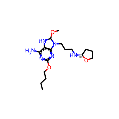 CCCCOc1nc(N)c2c(n1)N(CCCN[C@H]1CCCO1)C(OC)N2